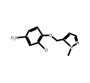 Cn1nccc1COc1ccc([N+](=O)[O-])cc1Cl